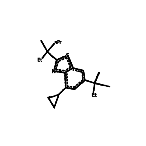 CCCC(C)(CC)c1nc2c(C3CC3)cc(C(C)(C)CC)cc2s1